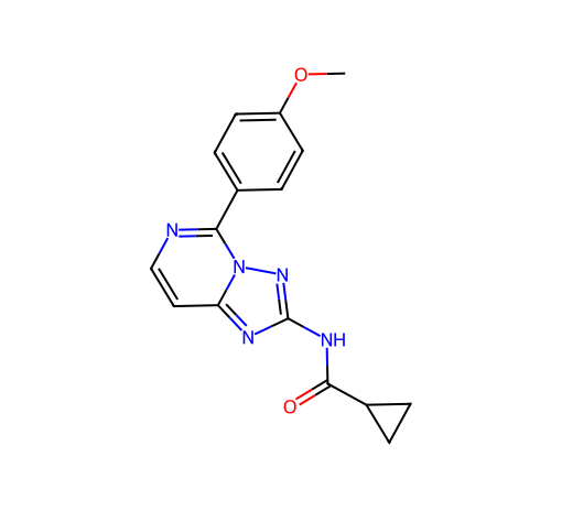 COc1ccc(-c2nccc3nc(NC(=O)C4CC4)nn23)cc1